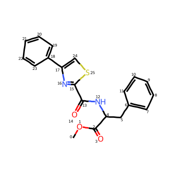 COC(=O)C(Cc1ccccc1)NC(=O)c1nc(-c2ccccc2)cs1